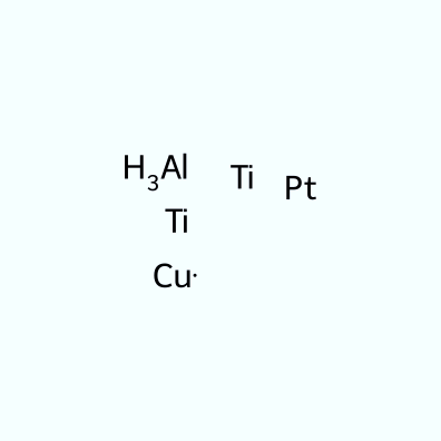 [AlH3].[Cu].[Pt].[Ti].[Ti]